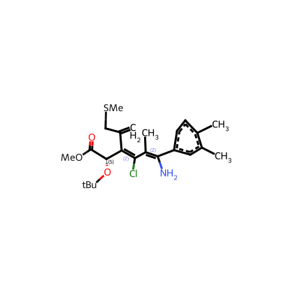 C=C(CSC)/C(=C(Cl)\C(C)=C(/N)c1ccc(C)c(C)c1)[C@H](OC(C)(C)C)C(=O)OC